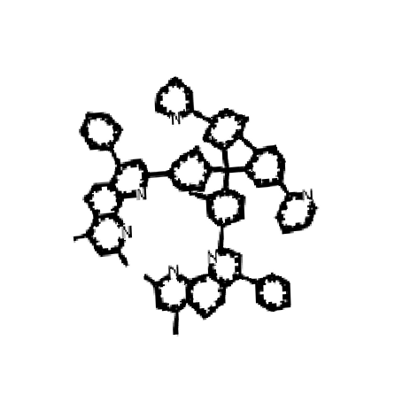 Cc1cc(C)c2ccc3c(-c4ccccc4)cc(-c4ccc(C5(c6ccc(-c7cc(-c8ccccc8)c8ccc9c(C)cc(C)nc9c8n7)cc6C)c6cc(-c7ccccn7)ccc6-c6ccc(-c7ccccn7)cc65)c(C)c4)nc3c2n1